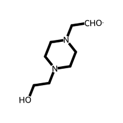 O=[C]CN1CCN(CCO)CC1